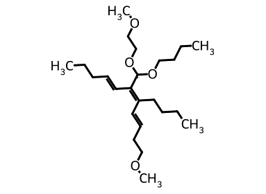 CCCC=CC([C](OCCCC)OCCOC)=C(C=CCCOC)CCCC